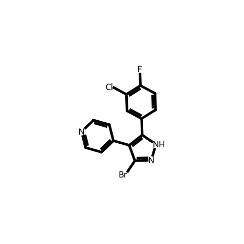 Fc1ccc(-c2[nH]nc(Br)c2-c2ccncc2)cc1Cl